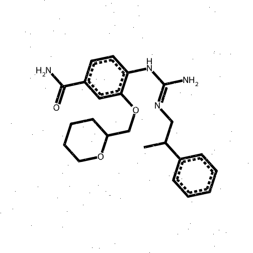 CC(CN=C(N)Nc1ccc(C(N)=O)cc1OCC1CCCCO1)c1ccccc1